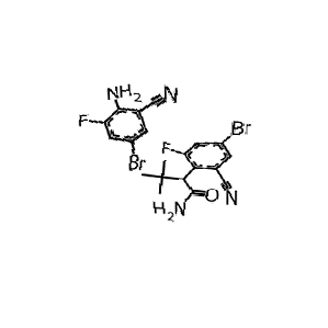 CC(C)(C)C(C(N)=O)c1c(F)cc(Br)cc1C#N.N#Cc1cc(Br)cc(F)c1N